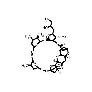 C=C1CC2CCC34C[C@H]5OC6C(O3)[C@H]3OC(CCC3O[C@H]6C5O4)CC(=O)CC3[C@@H](OC)C(CC(O)CN)O[C@H]3CC3OC(CCC1O2)C[C@@H](C)C3=C